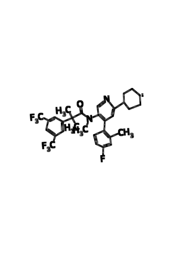 Cc1cc(F)ccc1-c1cc(C2CC[C]CC2)ncc1N(C)C(=O)C(C)(C)c1cc(C(F)(F)F)cc(C(F)(F)F)c1